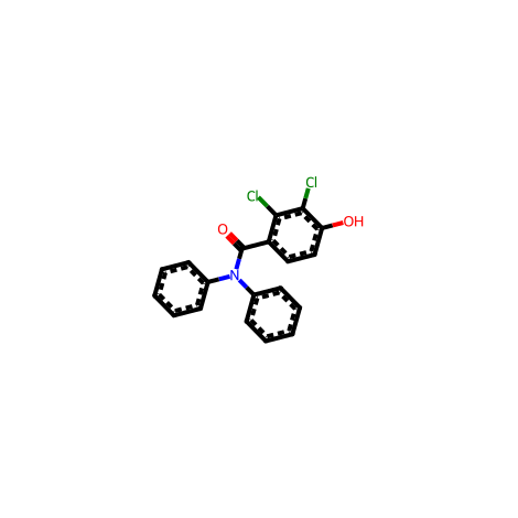 O=C(c1ccc(O)c(Cl)c1Cl)N(c1ccccc1)c1ccccc1